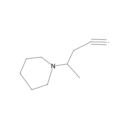 [C]#CCC(C)N1CCCCC1